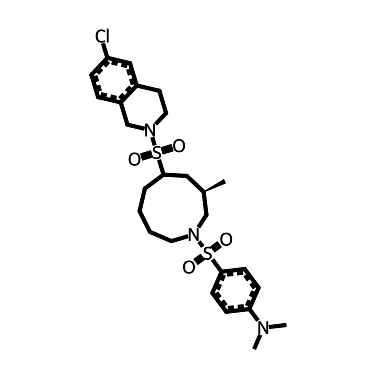 C[C@@H]1CC(S(=O)(=O)N2CCc3cc(Cl)ccc3C2)CCCCN(S(=O)(=O)c2ccc(N(C)C)cc2)C1